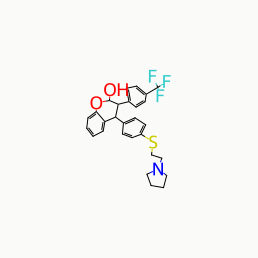 OC1Oc2ccccc2C(c2ccc(SCCN3CCCC3)cc2)C1c1ccc(C(F)(F)F)cc1